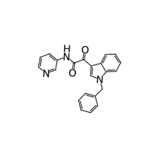 O=C(Nc1cccnc1)C(=O)c1cn(Cc2ccccc2)c2ccccc12